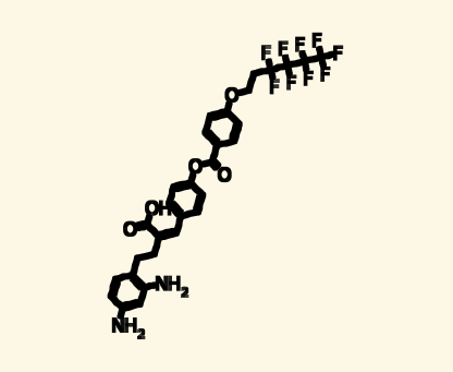 Nc1ccc(CCC(=Cc2ccc(OC(=O)c3ccc(OCCC(F)(F)C(F)(F)C(F)(F)C(F)(F)F)cc3)cc2)C(=O)O)c(N)c1